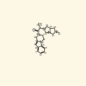 CCC(C(=O)N1CCn2c(cc3ccccc32)C1)N1CC2CN(C)CN2C1